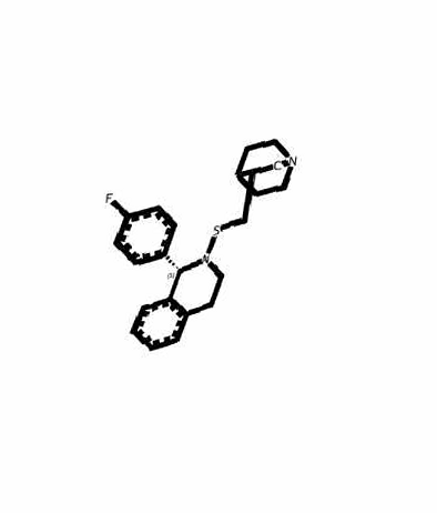 Fc1ccc([C@H]2c3ccccc3CCN2SCC2CN3CCC2CC3)cc1